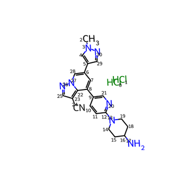 Cl.Cl.Cn1cc(-c2cc(-c3ccc(N4CCC(N)CC4)nc3)c3c(C#N)cnn3c2)cn1